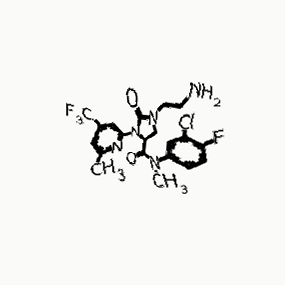 Cc1cc(C(F)(F)F)cc(N2C(=O)N(CCN)CC2C(=O)N(C)c2ccc(F)c(Cl)c2)n1